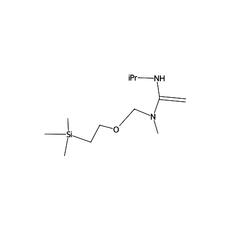 C=C(NC(C)C)N(C)COCC[Si](C)(C)C